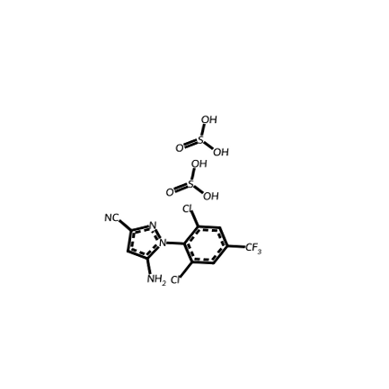 N#Cc1cc(N)n(-c2c(Cl)cc(C(F)(F)F)cc2Cl)n1.O=S(O)O.O=S(O)O